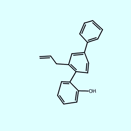 C=CCc1cc(-c2ccccc2)ccc1-c1ccccc1O